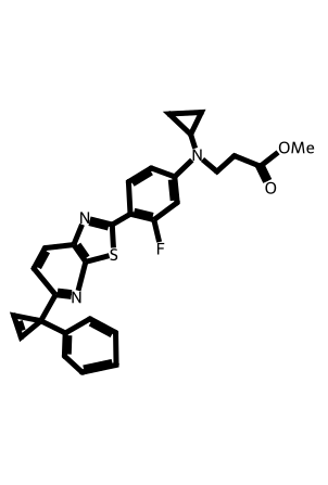 COC(=O)CCN(c1ccc(-c2nc3ccc(C4(c5ccccc5)C=C4)nc3s2)c(F)c1)C1CC1